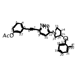 CC(=O)Oc1cccc(C#Cc2ccc(N3CC[C@@H](Oc4ccccc4F)C3)nn2)c1